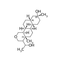 CC(O)C1COC[C@H]2[C@@H]3CC[C@@H]4C[C@](C)(O)CC[C@@H]4[C@H]3CC[C@]12C